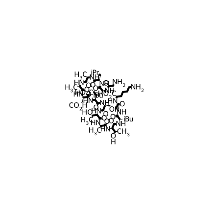 CC[C@H](C)[C@H](NC(=O)CN)C(=O)N[C@@H](CC(C)C)C(=O)N[C@@H](C)C(=O)N[C@@H](C)C(=O)N[C@@H](CC(=O)O)C(=O)N[C@@H](CCC(=O)O)C(=O)N[C@@H](CO)C(=O)N[C@H](C(=O)N[C@@H](C)C(=O)N[C@H](C(=O)N[C@H](C(=O)NCC(=O)N[C@@H](CCCCN)C(=O)O)[C@@H](C)CC)[C@@H](C)O)[C@@H](C)O